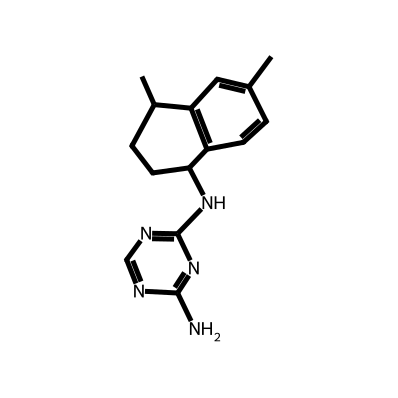 Cc1ccc2c(c1)C(C)CCC2Nc1ncnc(N)n1